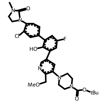 COCc1ncc(-c2cc(F)cc(-c3ccc(N4CCN(C)C4=O)c(Cl)c3)c2O)cc1N1CCN(C(=O)OC(C)(C)C)CC1